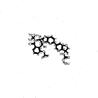 [2H]C([2H])([2H])N1C(=O)c2cccc(OC(F)F)c2[C@H]2C[C@@H]1c1nc3ccc(-c4cnc5c(c4)OCC5(C)NC(=O)OC(C)(C)C)nc3n12